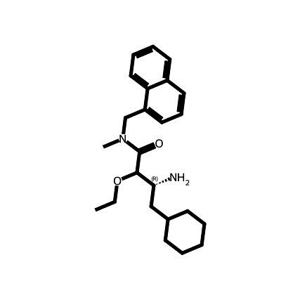 CCOC(C(=O)N(C)Cc1cccc2ccccc12)[C@H](N)CC1CCCCC1